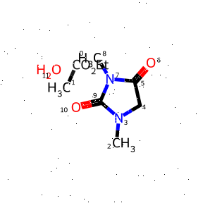 CCOC(C)=O.CN1CC(=O)N(C)C1=O.O